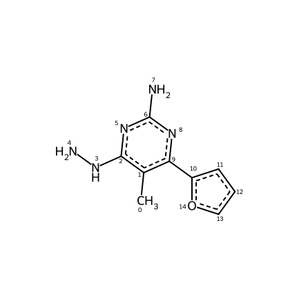 Cc1c(NN)nc(N)nc1-c1ccco1